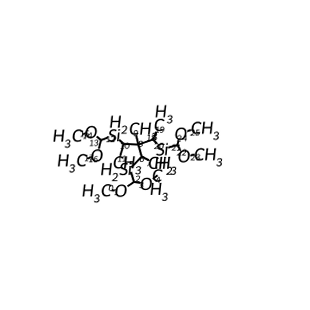 COC(OC)[SiH2]C(C)C(C)(C(C)[SiH2]C(OC)OC)C(C)[SiH2]C(OC)OC